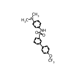 CN(C)c1ccc(NS(=O)(=O)c2cccc(-c3ccc(OC(F)(F)F)cc3)c2)cc1